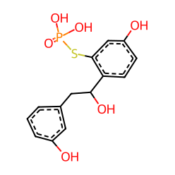 O=P(O)(O)Sc1cc(O)ccc1C(O)Cc1cccc(O)c1